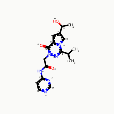 CC(C)c1nn(CC(=O)Nc2ccncn2)c(=O)c2cc(C(C)O)cn12